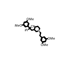 COc1cc(CCN2CCCC(CC(C#N)(c3cc(OC)cc(OC)c3)C(C)C)C2)cc(OC)c1